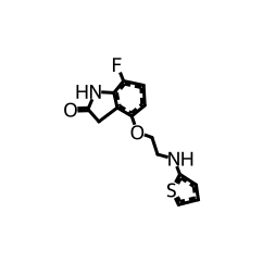 O=C1Cc2c(OCCNc3cccs3)ccc(F)c2N1